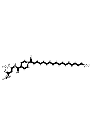 CCCNC(=O)C[C@@H](NC(=O)C1CCN(C(=O)CCCCCCCCCCCCCCCCC(=O)O)CC1)C(=O)O